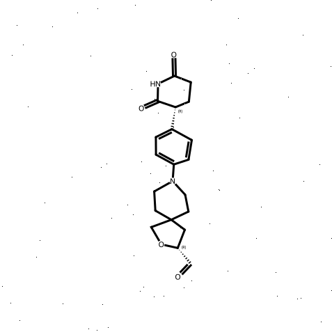 O=C[C@H]1CC2(CCN(c3ccc([C@H]4CCC(=O)NC4=O)cc3)CC2)CO1